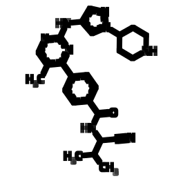 Cc1cnc(Nc2cnn(C3CCNCC3)c2)nc1-c1ccc(C(=O)NC(C#N)C(C)C)cc1